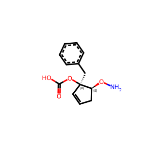 NO[C@H]1CC=C[C@@]1(Cc1ccccc1)OC(=O)O